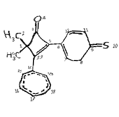 CC1(C)C(=O)C(C2=CCC(=S)C=C2)=C1c1ccccc1